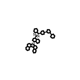 c1ccc(-c2cccc(-c3ccc(-c4nc(-c5ccc(-n6c7ccc8ccccc8c7c7c8ccccc8ccc76)c6ccccc56)nc5ccccc45)cc3)c2)cc1